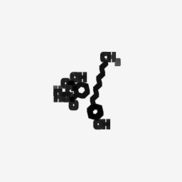 CC1(C(=O)O)CCCCC1C(=O)O.CCCCCCCCCc1ccc(O)cc1